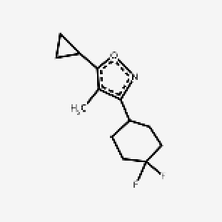 Cc1c(C2CCC(F)(F)CC2)noc1C1CC1